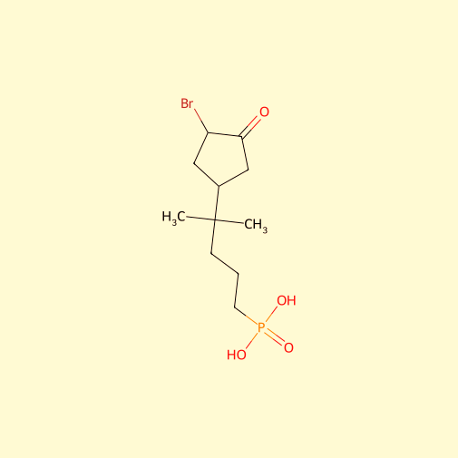 CC(C)(CCCP(=O)(O)O)C1CC(=O)C(Br)C1